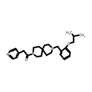 CC(C)COc1ccccc1CN1CCC2(CC1)CCN(C(=O)Cc1ccncc1)CC2